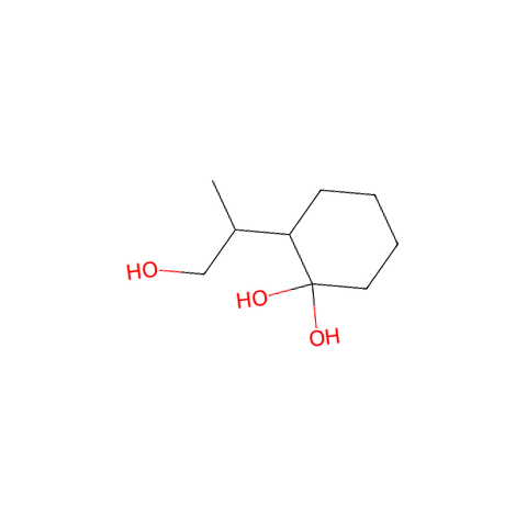 CC(CO)C1CCCCC1(O)O